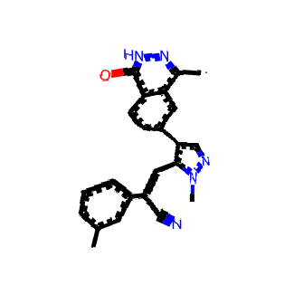 [CH2]c1n[nH]c(=O)c2ccc(-c3cnn(C)c3C=C(C#N)c3cccc(C)c3)cc12